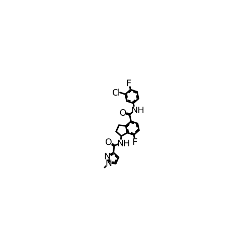 Cn1ccc(C(=O)NC2CCc3c(C(=O)Nc4ccc(F)c(Cl)c4)ccc(F)c32)n1